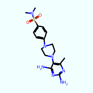 Cc1nc(N)nc(N)c1N1CCN(c2ccc(S(=O)(=O)N(C)C)cc2)CC1